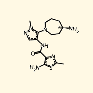 Cc1nc(C(=O)Nc2cnn(C)c2N2CCC[C@@H](N)CC2)c(N)s1